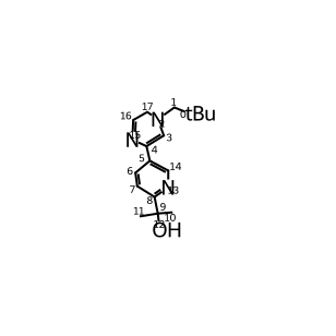 CC(C)(C)CN1C=C(c2ccc(C(C)(C)O)nc2)N=CC1